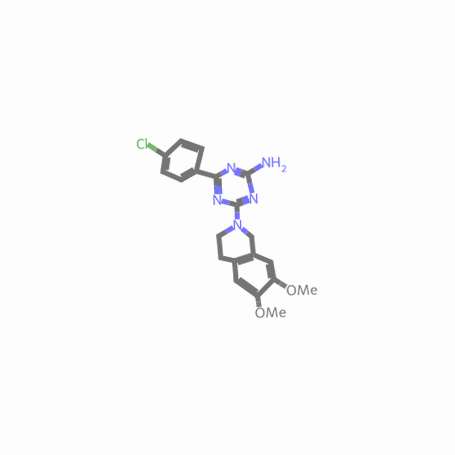 COc1cc2c(cc1OC)CN(c1nc(N)nc(-c3ccc(Cl)cc3)n1)CC2